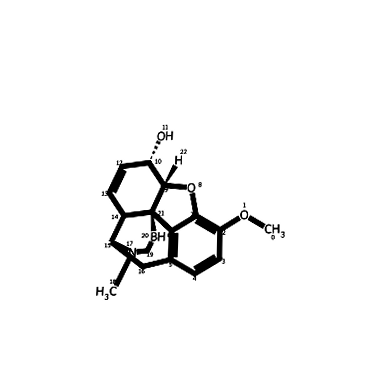 COc1ccc2c3c1O[C@H]1[C@@H](O)C=CC4C(C2)N(C)CB[C@@]341